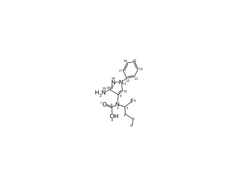 CCCC(F)N(C(=O)O)c1cn(-c2ccccc2)nc1N